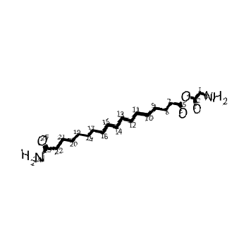 NCC(=O)OC(=O)CCCCCCCCCCCCCCCCC(N)=O